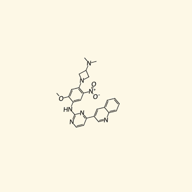 COc1cc(N2CC(N(C)C)C2)c([N+](=O)[O-])cc1Nc1nccc(-c2cnc3ccccc3c2)n1